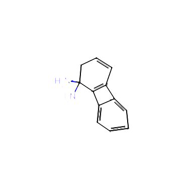 NC1(N)CC=CC2=C1c1ccccc12